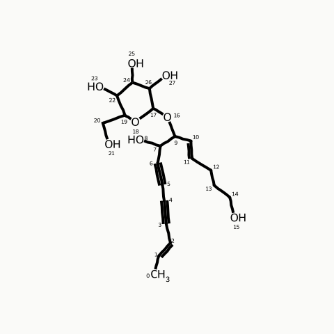 CC=CC#CC#CC(O)C(C=CCCCO)OC1OC(CO)C(O)C(O)C1O